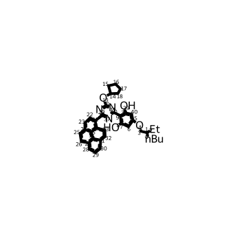 CCCCC(CC)COc1cc(O)c(-c2nc(OC3CCCC3)nc(-c3ccc4ccc5cccc6ccc3c4c56)n2)c(O)c1